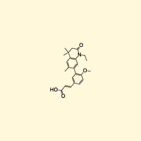 CCN1C(=O)CC(C)(C)c2cc(C)c(-c3cc(C=CC(=O)O)ccc3OC)cc21